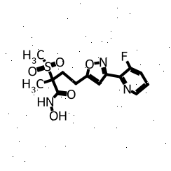 CC(CCc1cc(-c2ncccc2F)no1)(C(=O)NO)S(C)(=O)=O